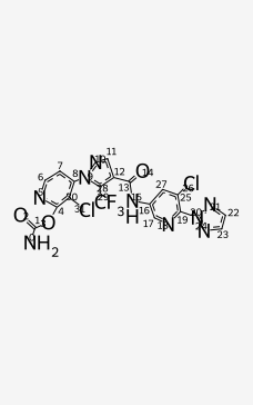 NC(=O)Oc1nccc(-n2ncc(C(=O)Nc3cnc(-n4nccn4)c(Cl)c3)c2C(F)(F)F)c1Cl